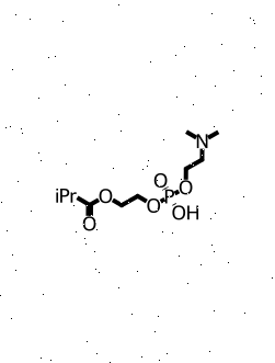 CC(C)C(=O)OCCOP(=O)(O)OCCN(C)C